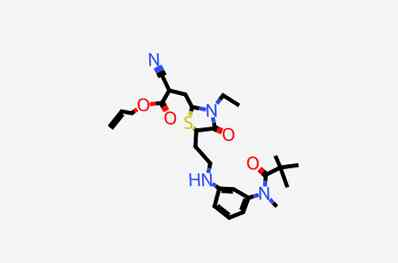 C=CCOC(=O)C(C#N)CC1SC(CCNc2cccc(N(C)C(=O)C(C)(C)C)c2)C(=O)N1CC